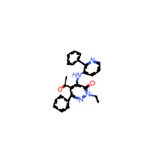 CCn1nc(-c2ccccc2)c(C(C)=O)c(Nc2cccnc2-c2ccccc2)c1=O